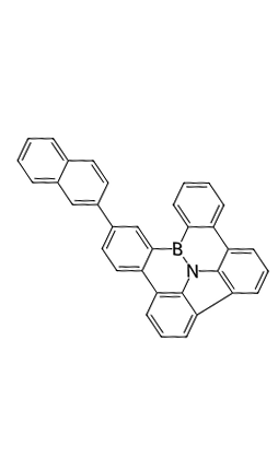 c1ccc2c(c1)B1c3cc(-c4ccc5ccccc5c4)ccc3-c3cccc4c5cccc-2c5n1c34